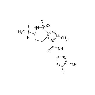 Cn1cc2c(c1C(=O)Nc1ccc(F)c(C#N)c1)CCC(C(C)(F)F)NS2(=O)=O